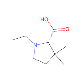 CCN1CCC(C)(C)[C@H]1C(=O)O